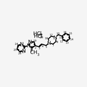 Cc1c(/C=C/CN2CCN(Cc3ccccc3)CC2)cnn1-c1ncccn1.Cl.Cl